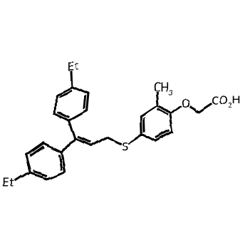 CCc1ccc(C(=CCSc2ccc(OCC(=O)O)c(C)c2)c2ccc(CC)cc2)cc1